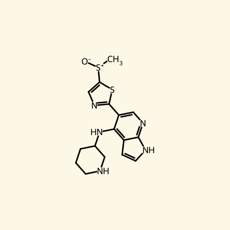 C[S+]([O-])c1cnc(-c2cnc3[nH]ccc3c2NC2CCCNC2)s1